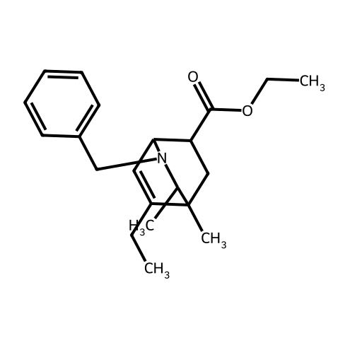 CCOC(=O)C1CC2(C)C(CC)=CC1N(Cc1ccccc1)C2C